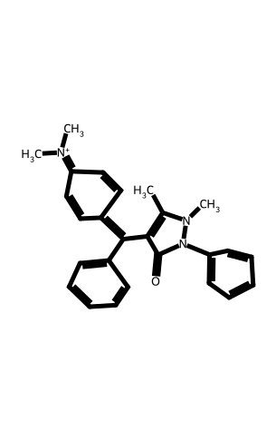 Cc1c(C(=C2C=CC(=[N+](C)C)C=C2)c2ccccc2)c(=O)n(-c2ccccc2)n1C